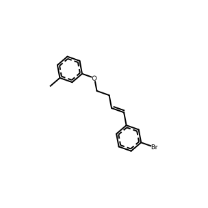 Cc1cccc(OCCC=Cc2cccc(Br)c2)c1